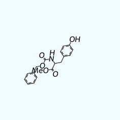 COC(=O)C(Cc1ccc(O)cc1)NC(=O)OCc1ccccc1